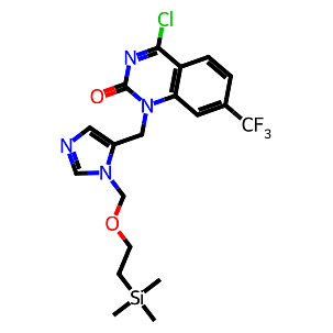 C[Si](C)(C)CCOCn1cncc1Cn1c(=O)nc(Cl)c2ccc(C(F)(F)F)cc21